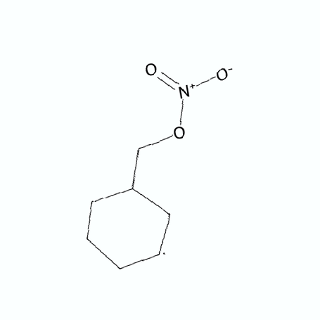 O=[N+]([O-])OCC1C[CH]CCC1